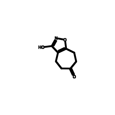 O=C1CCc2onc(O)c2CC1